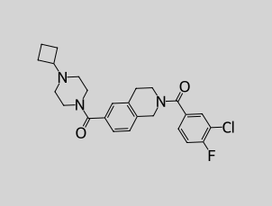 O=C(c1ccc2c(c1)CCN(C(=O)c1ccc(F)c(Cl)c1)C2)N1CCN(C2CCC2)CC1